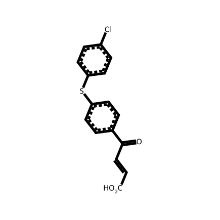 O=C(O)C=CC(=O)c1ccc(Sc2ccc(Cl)cc2)cc1